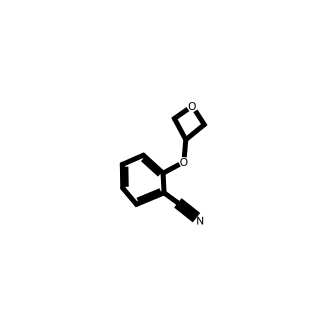 N#Cc1ccccc1OC1COC1